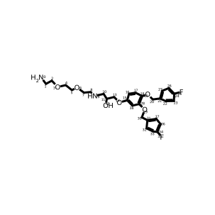 NCCOCCOCCNCC(O)COc1ccc(OCc2ccc(F)cc2)c(OCc2ccc(F)cc2)c1